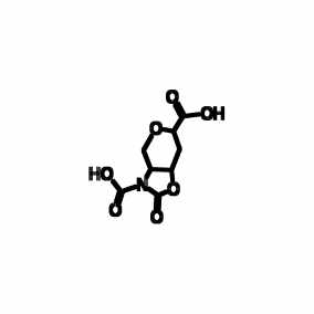 O=C(O)C1CC2OC(=O)N(C(=O)O)C2CO1